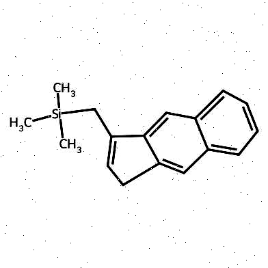 C[Si](C)(C)CC1=CCc2cc3ccccc3cc21